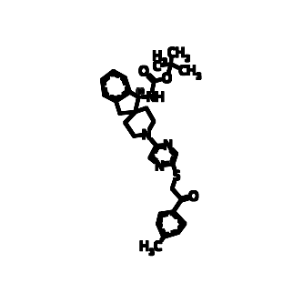 Cc1ccc(C(=O)CSc2cnc(N3CCC4(CC3)Cc3ccccc3[C@H]4NC(=O)OC(C)(C)C)cn2)cc1